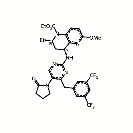 CCOC(=O)N1c2ccc(OC)nc2[C@@H](Nc2ncc(N3CCCC3=O)c(Cc3cc(C(F)(F)F)cc(C(F)(F)F)c3)n2)C[C@H]1CC